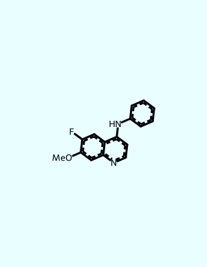 COc1cc2nccc(Nc3ccccc3)c2cc1F